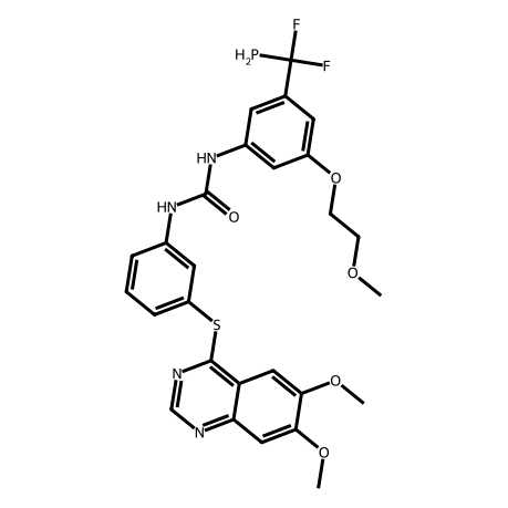 COCCOc1cc(NC(=O)Nc2cccc(Sc3ncnc4cc(OC)c(OC)cc34)c2)cc(C(F)(F)P)c1